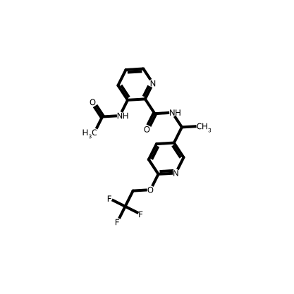 CC(=O)Nc1cccnc1C(=O)NC(C)c1ccc(OCC(F)(F)F)nc1